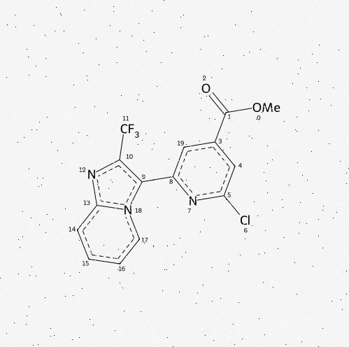 COC(=O)c1cc(Cl)nc(-c2c(C(F)(F)F)nc3ccccn23)c1